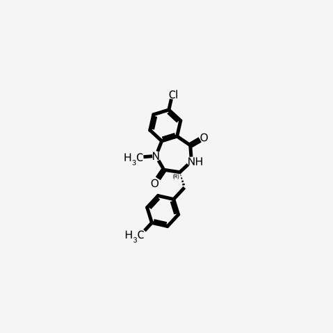 Cc1ccc(C[C@H]2NC(=O)c3cc(Cl)ccc3N(C)C2=O)cc1